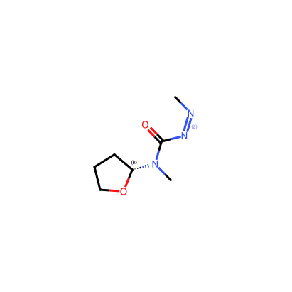 C/N=N\C(=O)N(C)[C@H]1CCCO1